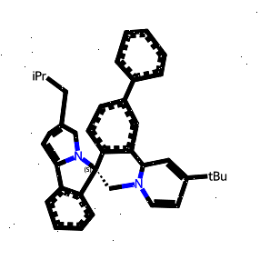 CC(C)CC1=CC=C2c3ccccc3[C@@]3(CN4C=CC(C(C)(C)C)=CC4c4cc(-c5ccccc5)ccc43)N2C1